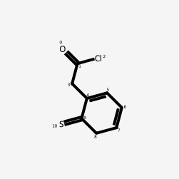 O=C(Cl)CC1=CC=CCC1=S